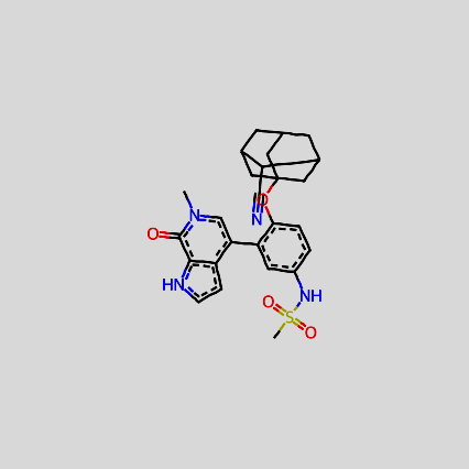 Cn1cc(-c2cc(NS(C)(=O)=O)ccc2OC23CC4CC(C2)C(C#N)C(C4)C3)c2cc[nH]c2c1=O